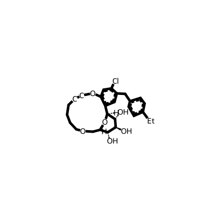 CCc1ccc(Cc2cc3c(cc2Cl)OCCCCCCOC[C@H]2O[C@@H]3[C@H](O)[C@@H](O)[C@@H]2O)cc1